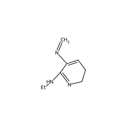 C=NC1=CCCN=C1NCC